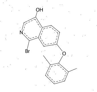 Cc1cccc(C)c1Oc1ccc2c(O)cnc(Br)c2c1